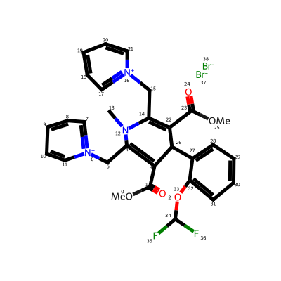 COC(=O)C1=C(C[n+]2ccccc2)N(C)C(C[n+]2ccccc2)=C(C(=O)OC)C1c1ccccc1OC(F)F.[Br-].[Br-]